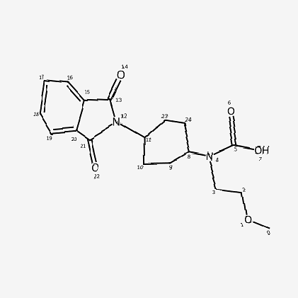 COCCN(C(=O)O)C1CCC(N2C(=O)c3ccccc3C2=O)CC1